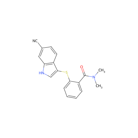 CN(C)C(=O)c1ccccc1Sc1c[nH]c2cc(C#N)ccc12